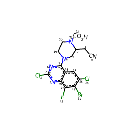 N#CCC1CN(c2nc(Cl)nc3c(F)c(Br)c(Cl)cc23)CCN1C(=O)O